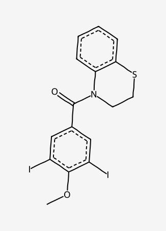 COc1c(I)cc(C(=O)N2CCSc3ccccc32)cc1I